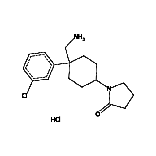 Cl.NCC1(c2cccc(Cl)c2)CCC(N2CCCC2=O)CC1